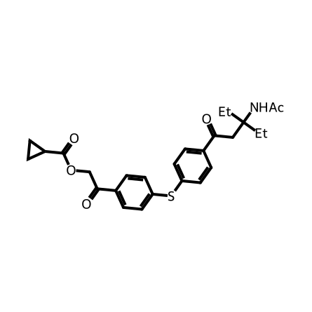 CCC(CC)(CC(=O)c1ccc(Sc2ccc(C(=O)COC(=O)C3CC3)cc2)cc1)NC(C)=O